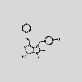 Cc1c(C)n(Cc2ccc(Cl)cc2)c2c(/C=C/c3ccccc3)nccc12.Cl